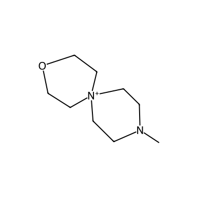 CN1CC[N+]2(CCOCC2)CC1